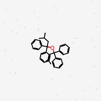 CC(C)CC(OC(CC(C)C)(c1ccccc1)c1ccccc1)(c1ccccc1)c1ccccc1